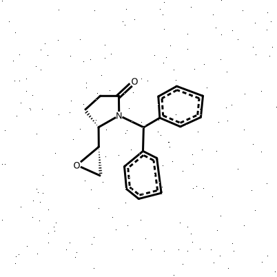 O=C1CC[C@@H]([C@@H]2CO2)N1C(c1ccccc1)c1ccccc1